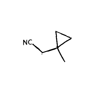 CC1([CH]C#N)CC1